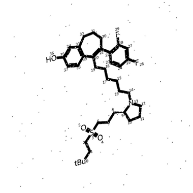 CC(C)(C)CCS(=O)(=O)CCC[C@@H]1CCCN1CCCCCCC1=C(c2ccc(F)cc2F)CCCc2cc(O)ccc21